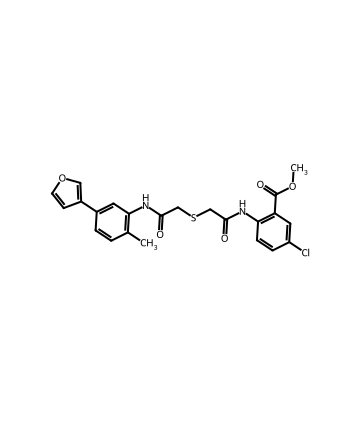 COC(=O)c1cc(Cl)ccc1NC(=O)CSCC(=O)Nc1cc(-c2ccoc2)ccc1C